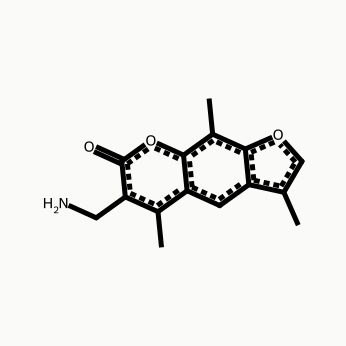 Cc1coc2c(C)c3oc(=O)c(CN)c(C)c3cc12